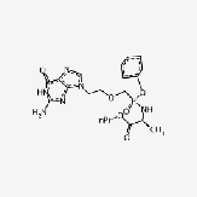 CCCOC(=O)[C@H](C)NP(=O)(COCCn1cnc2c(=O)[nH]c(N)nc21)Oc1ccccc1